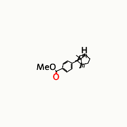 COC(=O)c1ccc(C2=C[C@H]3CC[C@@]2(C)C3(C)C)cc1